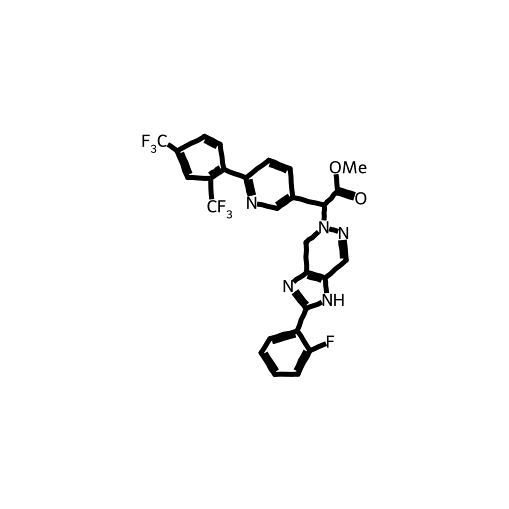 COC(=O)C(c1ccc(-c2ccc(C(F)(F)F)cc2C(F)(F)F)nc1)N1Cc2nc(-c3ccccc3F)[nH]c2C=N1